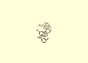 CC(C)(C)OC(=O)NC(C=O)CNc1c(F)cccc1Nc1cncc(F)c1